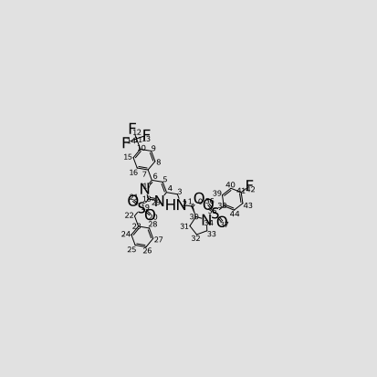 O=C(NCc1cc(-c2ccc(C(F)(F)F)cc2)nc(S(=O)(=O)Cc2ccccc2)n1)[C@@H]1CCCN1S(=O)(=O)c1ccc(F)cc1